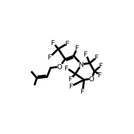 CC(C)=CCO/C(=C(/F)N1C(F)(F)C(F)(F)OC(F)(F)C1(F)F)C(F)(F)F